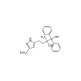 CCOC(=O)c1cc(CCC(C)(C)[Si](O)(c2ccccc2)c2ccccc2)[nH]n1